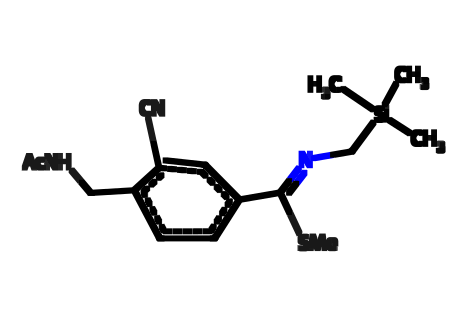 CS/C(=N\C[Si](C)(C)C)c1ccc(CNC(C)=O)c(C#N)c1